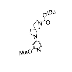 COc1cc(N2CCC3(CCN(C(=O)OC(C)(C)C)C3)C2)ccn1